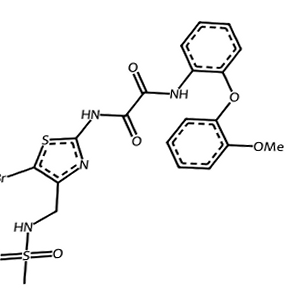 COc1ccccc1Oc1ccccc1NC(=O)C(=O)Nc1nc(CNS(C)(=O)=O)c(Br)s1